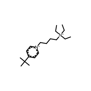 CC[N+](CC)(CC)CCCC[n+]1ccc(C(C)(C)C)cc1